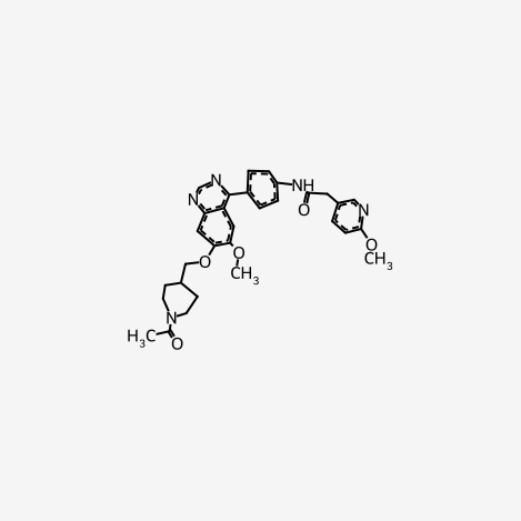 COc1ccc(CC(=O)Nc2ccc(-c3ncnc4cc(OCC5CCN(C(C)=O)CC5)c(OC)cc34)cc2)cn1